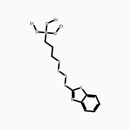 CCO[Si](CCCSSSSc1nc2ccccc2s1)(OCC)OCC